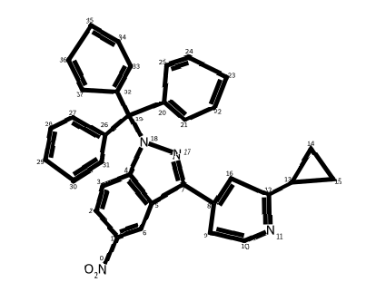 O=[N+]([O-])c1ccc2c(c1)c(-c1ccnc(C3CC3)c1)nn2C(c1ccccc1)(c1ccccc1)c1ccccc1